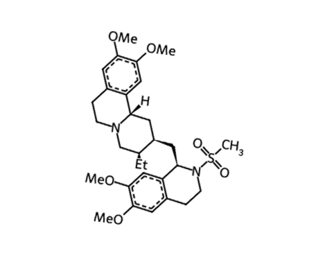 CC[C@H]1CN2CCc3cc(OC)c(OC)cc3[C@@H]2C[C@H]1C[C@@H]1c2cc(OC)c(OC)cc2CCN1S(C)(=O)=O